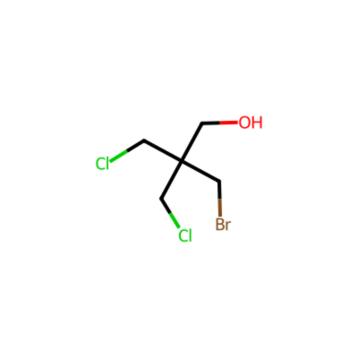 OCC(CCl)(CCl)CBr